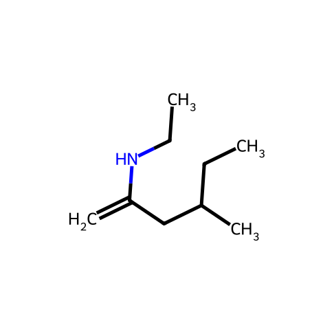 C=C(CC(C)CC)NCC